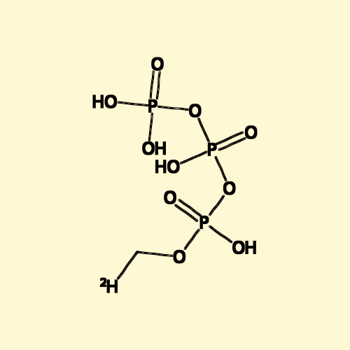 [2H]COP(=O)(O)OP(=O)(O)OP(=O)(O)O